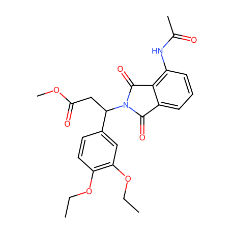 CCOc1ccc(C(CC(=O)OC)N2C(=O)c3cccc(NC(C)=O)c3C2=O)cc1OCC